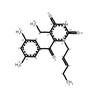 CCC=CCn1c(C(=O)c2cc(C)cc(C)c2)c(CC)c(=O)[nH]c1=O